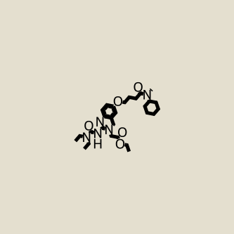 CCOC(=O)CN1Cc2cc(OCCCC(=O)N(C)C3CCCCC3)ccc2N=C1NC(=O)N(CC)CC